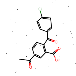 CC(=O)c1ccc(C(=O)c2ccc(Cl)cc2)c(C(=O)O)c1